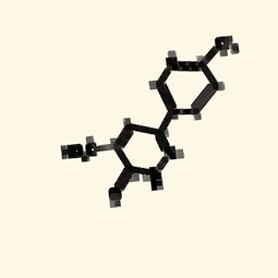 O=C(O)c1cc(-c2ccc(C(F)(F)F)nc2)n[nH]c1=O